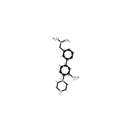 CN(C)Cc1cccc(-c2ccc(N3CCOCC3)c(C(=O)O)c2)c1